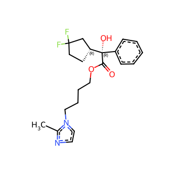 Cc1nccn1CCCCOC(=O)[C@](O)(c1ccccc1)[C@@H]1CCC(F)(F)C1